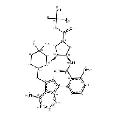 COc1nccc(-c2cc(CN3CCC(F)(F)CC3)c3c(N)ncnn23)c1C(=O)N[C@@H]1CN(C(=O)CC(C)(O)C(F)(F)F)C[C@@H]1F